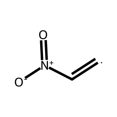 [CH]=C[N+](=O)[O-]